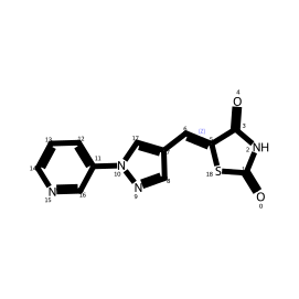 O=C1NC(=O)/C(=C/c2cnn(-c3cccnc3)c2)S1